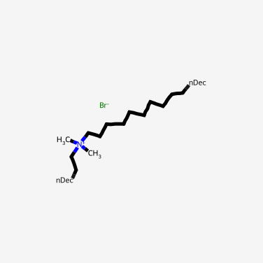 CCCCCCCCCCCCCCCCCCCC[N+](C)(C)CCCCCCCCCCCC.[Br-]